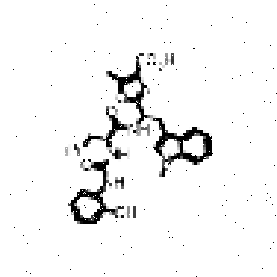 Cc1oc([C@@H](Cc2cn(C)c3ccccc23)NC(=O)[C@H](CC(C)C)NC(=O)Nc2ccccc2O)nc1C(=O)O